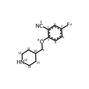 N#Cc1cc(F)ccc1OCC1CCNCC1